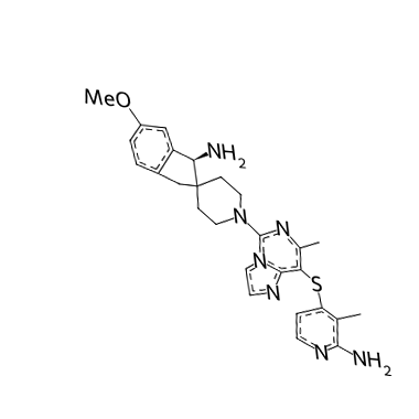 COc1ccc2c(c1)[C@@H](N)C1(CCN(c3nc(C)c(Sc4ccnc(N)c4C)c4nccn34)CC1)C2